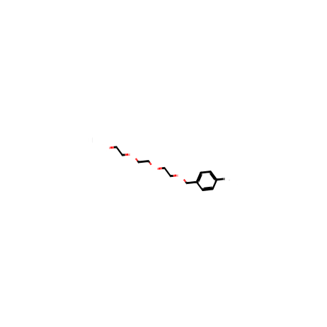 Bc1ccc(COCCOCCOCCOC)cc1